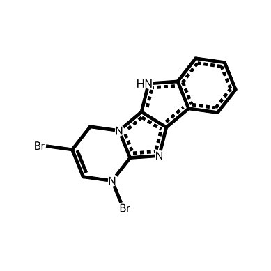 BrC1=CN(Br)c2nc3c4ccccc4[nH]c3n2C1